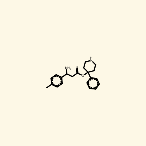 Cc1ccc(C(N)CC(=O)OC2(c3ccccc3)CCNCC2)cc1